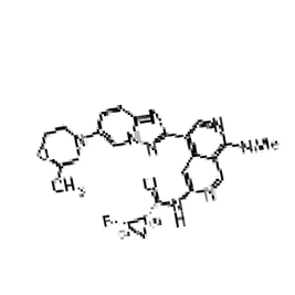 CNc1ncc(-c2nc3ccc(N4CCOC(C)C4)cn3n2)c2cc(NC(=O)[C@@H]3C[C@@H]3F)ncc12